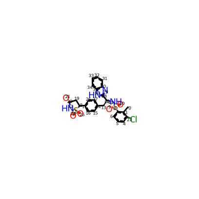 Cc1c(Cl)cccc1S(=O)(=O)N[C@@H](Cc1ccc(C2CC(=O)NS2(=O)=O)cc1)c1nc2ccccc2[nH]1